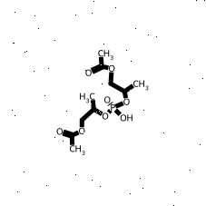 CC(=O)OCC(C)OP(=O)(O)OC(C)COC(C)=O